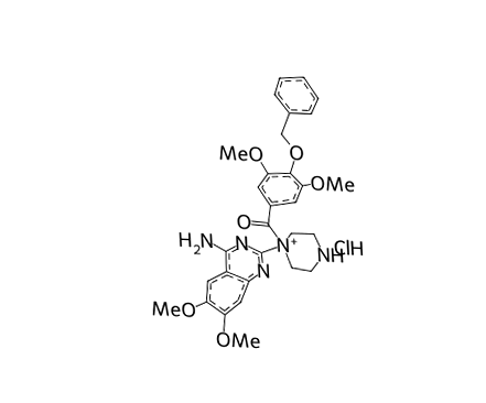 COc1cc2nc([N+]3(C(=O)c4cc(OC)c(OCc5ccccc5)c(OC)c4)CCNCC3)nc(N)c2cc1OC.Cl